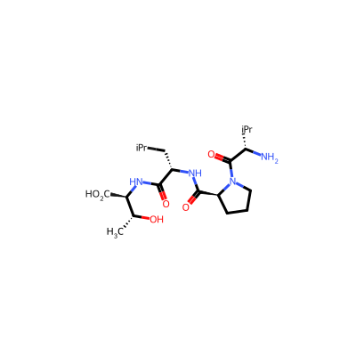 CC(C)C[C@H](NC(=O)[C@@H]1CCCN1C(=O)[C@@H](N)C(C)C)C(=O)N[C@H](C(=O)O)[C@@H](C)O